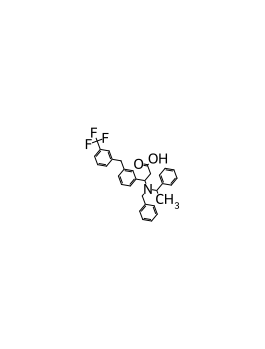 CC(c1ccccc1)N(Cc1ccccc1)C(CC(=O)O)c1cccc(Cc2cccc(C(F)(F)F)c2)c1